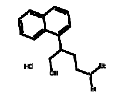 CCN(CC)CCC(CO)c1cccc2ccccc12.Cl